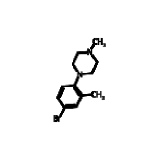 Cc1cc(Br)ccc1N1CCN(C)CC1